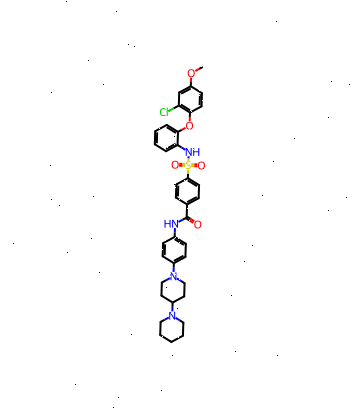 COc1ccc(Oc2ccccc2NS(=O)(=O)c2ccc(C(=O)Nc3ccc(N4CCC(N5CCCCC5)CC4)cc3)cc2)c(Cl)c1